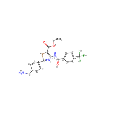 CCOC(=O)c1sc(-c2ccc(CN)cc2)nc1NC(=O)c1ccc(C(F)(F)F)cc1